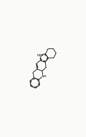 C1=C2Cc3ccccc3NC2Cc2c1[nH]c1c2CCCC1